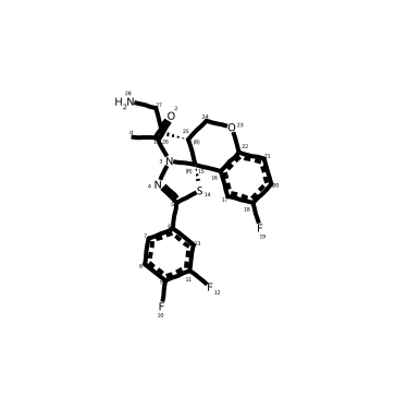 CC(=O)N1N=C(c2ccc(F)c(F)c2)S[C@]12c1cc(F)ccc1OC[C@H]2CCN